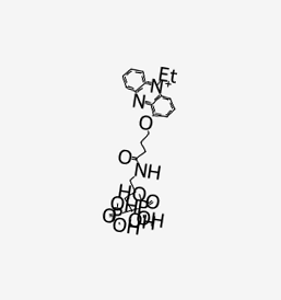 CC[n+]1c2ccccc2nc2c(OCCCC(=O)NCCCC(O)(P(=O)(O)O)P(=O)(O)O)cccc21